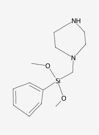 CO[Si](CN1CCNCC1)(OC)c1ccccc1